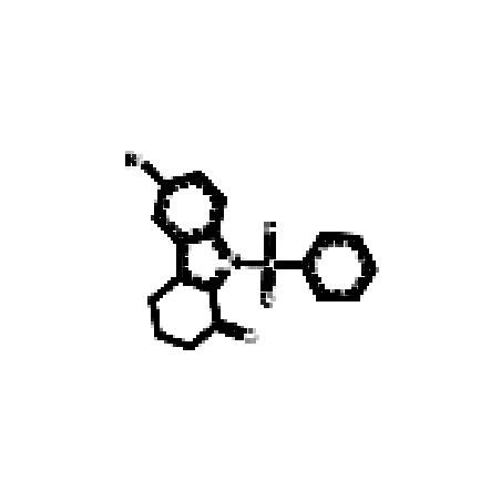 O=C1CCCc2c1n(S(=O)(=O)c1ccccc1)c1ccc(Br)cc21